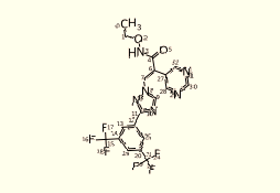 CCONC(=O)/C(=C/n1cnc(-c2cc(C(F)(F)F)cc(C(F)(F)F)c2)n1)c1cncnc1